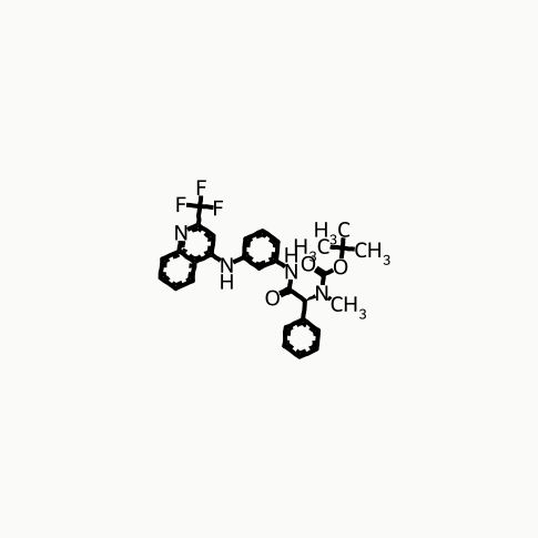 CN(C(=O)OC(C)(C)C)[C@H](C(=O)Nc1cccc(Nc2cc(C(F)(F)F)nc3ccccc23)c1)c1ccccc1